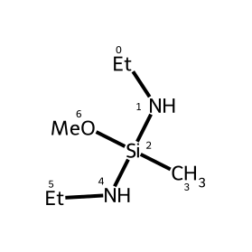 CCN[Si](C)(NCC)OC